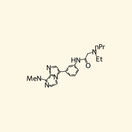 CCCN(CC)CC(=O)Nc1cccc(-c2cnc3c(NC)nccn23)c1